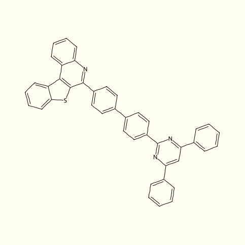 c1ccc(-c2cc(-c3ccccc3)nc(-c3ccc(-c4ccc(-c5nc6ccccc6c6c5sc5ccccc56)cc4)cc3)n2)cc1